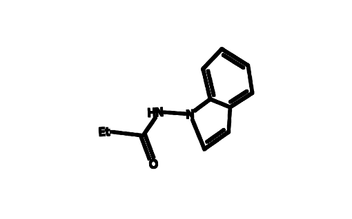 CCC(=O)Nn1ccc2ccccc21